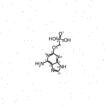 Nc1nc(OCP(=O)(O)O)nc2[nH]cnc12